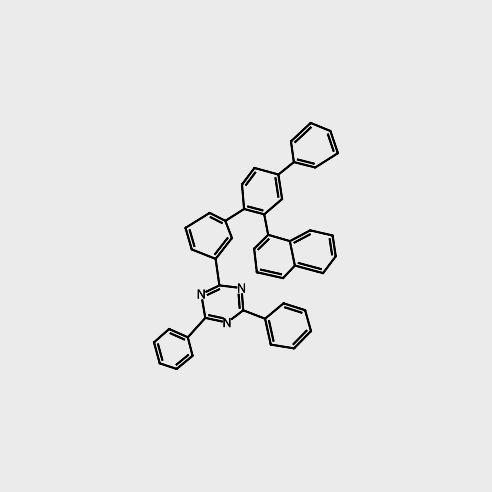 c1ccc(-c2ccc(-c3cccc(-c4nc(-c5ccccc5)nc(-c5ccccc5)n4)c3)c(-c3cccc4ccccc34)c2)cc1